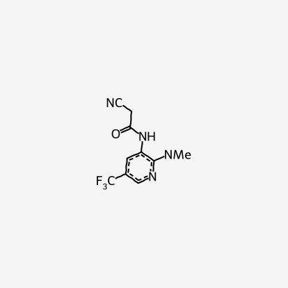 CNc1ncc(C(F)(F)F)cc1NC(=O)CC#N